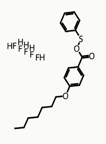 CCCCCCCOc1ccc(C(=O)OSc2ccccc2)cc1.F.F.F.F.F